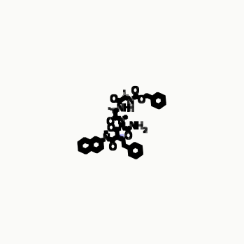 C[C@H](NC(=O)OCc1ccccc1)C(=O)N[C@@H](C)C(=O)N(C)N(C(N)=O)C(=O)/C(=C/Cc1ccccc1)C(=O)N(C)c1ccc2ccccc2c1